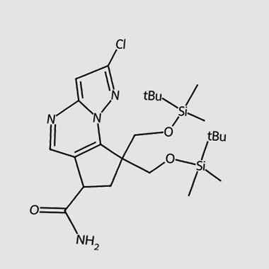 CC(C)(C)[Si](C)(C)OCC1(CO[Si](C)(C)C(C)(C)C)CC(C(N)=O)c2cnc3cc(Cl)nn3c21